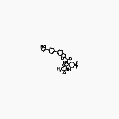 CC1(NC(=O)C2(NC(=O)c3cc4ccc(-c5ccc(-c6ccno6)cc5)cc4o3)CCC(F)(F)CC2)CC1